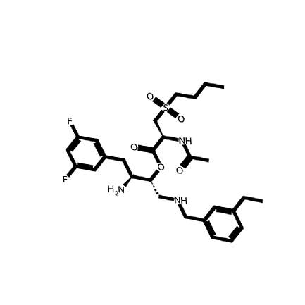 CCCCS(=O)(=O)C[C@@H](NC(C)=O)C(=O)O[C@H](CNCc1cccc(CC)c1)[C@@H](N)Cc1cc(F)cc(F)c1